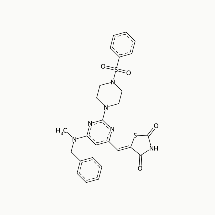 CN(Cc1ccccc1)c1cc(C=C2SC(=O)NC2=O)nc(N2CCN(S(=O)(=O)c3ccccc3)CC2)n1